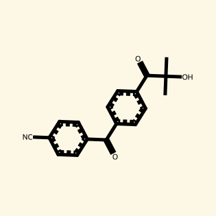 CC(C)(O)C(=O)c1ccc(C(=O)c2ccc(C#N)cc2)cc1